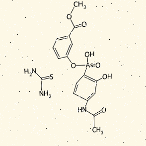 COC(=O)c1cccc(O[As](=O)(O)c2ccc(NC(C)=O)cc2O)c1.NC(N)=S